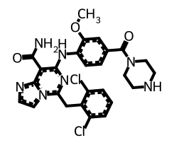 COc1cc(C(=O)N2CCNCC2)ccc1Nc1nc(Cc2c(Cl)cccc2Cl)n2ccnc2c1C(N)=O